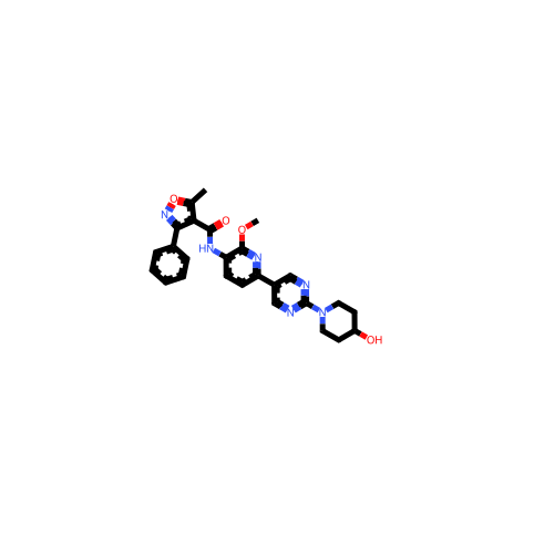 COc1nc(-c2cnc(N3CCC(O)CC3)nc2)ccc1NC(=O)c1c(-c2ccccc2)noc1C